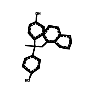 CC(Cc1cccc2ccccc12)(c1ccc(O)cc1)c1ccc(O)cc1